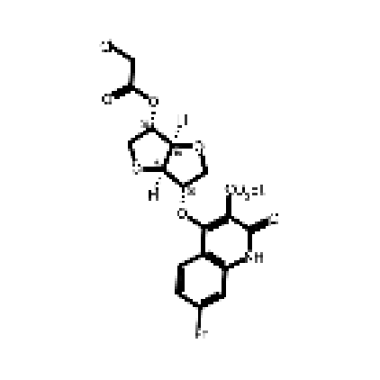 CCOC(=O)c1c(O[C@H]2CO[C@H]3[C@@H]2OC[C@@H]3OC(=O)CCl)c2ccc(CC)cc2[nH]c1=O